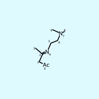 CC(=O)CC(C)=NCCN(C)C